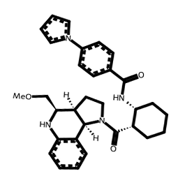 COC[C@@H]1Nc2ccccc2[C@H]2[C@@H]1CCN2C(=O)[C@H]1CCCC[C@H]1NC(=O)c1ccc(-n2cccc2)cc1